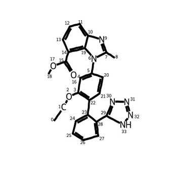 CCOc1cc(-n2c(C)nc3cccc(C(=O)OC)c32)ccc1-c1ccccc1-c1nnn[nH]1